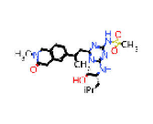 CC(C)C[C@H](CO)Nc1nc(CC(C)c2ccc3c(c2)CC(=O)N(C)C3)nc(NS(C)(=O)=O)n1